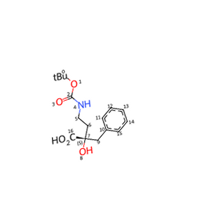 CC(C)(C)OC(=O)NCC[C@@](O)(Cc1ccccc1)C(=O)O